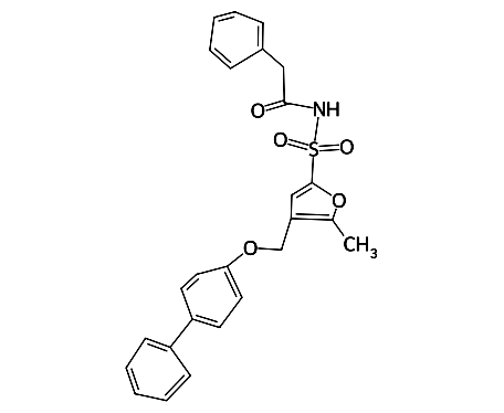 Cc1oc(S(=O)(=O)NC(=O)Cc2ccccc2)cc1COc1ccc(-c2ccccc2)cc1